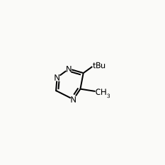 Cc1ncnnc1C(C)(C)C